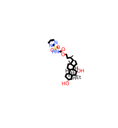 CC[C@H]1[C@@H](O)[C@@H]2[C@H](CC[C@]3(C)[C@@H]([C@H](C)CCOC(=O)NS(=O)(=O)c4ncccn4)CC[C@@H]23)[C@@]2(C)CC[C@@H](O)C[C@@H]12